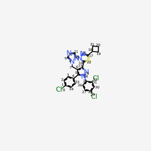 Clc1ccc(-c2c(Cn3cncn3)c(-c3nnc(C4CCC4)s3)nn2-c2ccc(Cl)cc2Cl)cc1